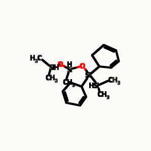 C[SiH](C)O[SiH](C)O[Si](C1C=CC=CC1)(C1C=CC=CC1)[SiH](C)C